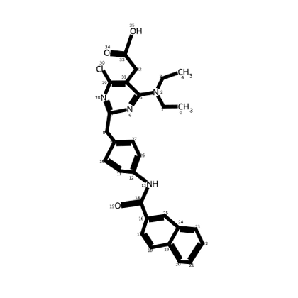 CCN(CC)c1nc(Cc2ccc(NC(=O)c3ccc4ccccc4c3)cc2)nc(Cl)c1CC(=O)O